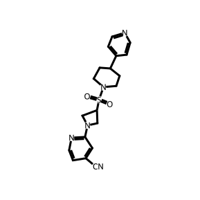 N#Cc1ccnc(N2CC(S(=O)(=O)N3CCC(c4ccncc4)CC3)C2)c1